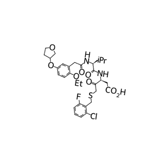 CCOc1ccc(OC2CCOC2)cc1CC(=O)N[C@H](C(=O)N[C@@H](CC(=O)O)C(=O)CSCc1c(F)cccc1Cl)C(C)C